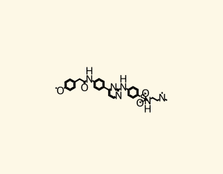 COc1ccc(CC(=O)Nc2ccc(-c3ccnc(Nc4ccc(S(=O)(=O)NCCN(C)C)cc4)n3)cc2)cc1